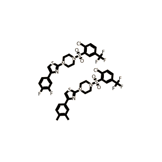 Cc1ccc(-c2csc(N3CCN(S(=O)(=O)c4cc(C(F)(F)F)ccc4Cl)CC3)n2)cc1C.O=S(=O)(c1cc(C(F)(F)F)ccc1Cl)N1CCN(c2nc(-c3ccc(F)c(F)c3)cs2)CC1